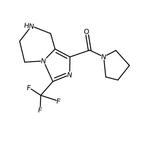 O=C(c1nc(C(F)(F)F)n2c1CNCC2)N1CCCC1